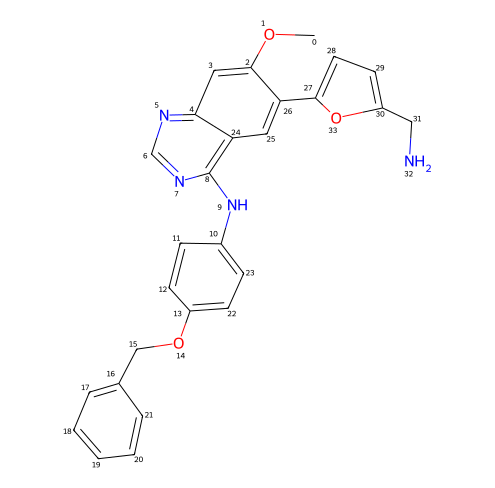 COc1cc2ncnc(Nc3ccc(OCc4ccccc4)cc3)c2cc1-c1ccc(CN)o1